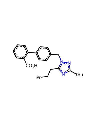 CC(C)CCc1nc(C(C)(C)C)nn1Cc1ccc(-c2ccccc2C(=O)O)cc1